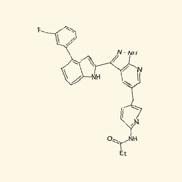 CCC(=O)Nc1ccc(-c2cnc3[nH]nc(-c4cc5c(-c6cccc(F)c6)cccc5[nH]4)c3c2)cn1